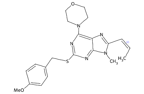 C/C=C\c1nc2c(N3CCOCC3)nc(SCc3ccc(OC)cc3)nc2n1C